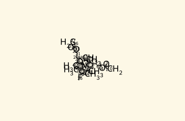 C=CC(=O)OCCCc1cc2c3c(c1)C(C)(C)c1cc(CCCOC(=O)C=C)cc4c1N3c1c(cc(F)cc1C4(C)C)C2(C)C